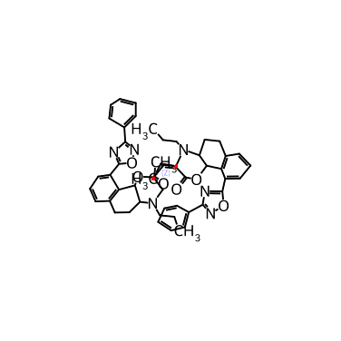 CCCN(CCC)C1CCc2cccc(-c3nc(-c4ccccc4)no3)c2C1OC(=O)/C=C\C(=O)OC1c2c(cccc2-c2nc(-c3ccccc3)no2)CCC1N(CCC)CCC